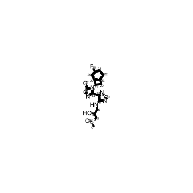 C[S+]([O-])CC(O)CNc1nonc1-c1noc(=O)n1[C@H]1Cc2ccc(F)cc21